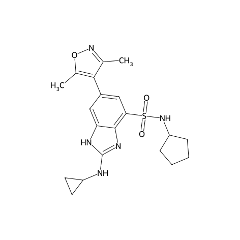 Cc1noc(C)c1-c1cc(S(=O)(=O)NC2CCCC2)c2nc(NC3CC3)[nH]c2c1